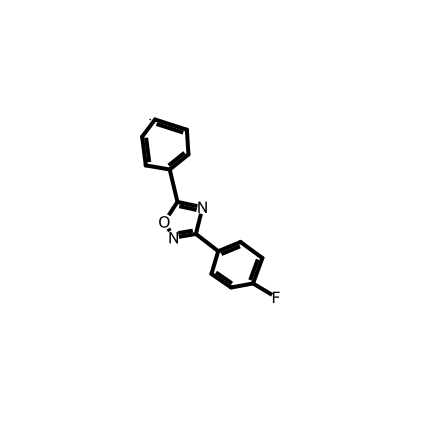 Fc1ccc(-c2noc(-c3cc[c]cc3)n2)cc1